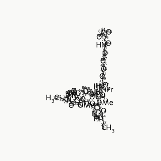 CC=CC1=CN2C(=O)c3cc(OC)c(OCCCOc4cc5c(cc4OC)C(=O)N4C=C(C=CC)C[C@H]4[C@H](O)N5C(=O)OCc4ccc(NC(=O)[C@H](C)NC(=O)[C@@H](NC(=O)CCOCCOCCOCCOCCNC(=O)CCN5C(=O)C=CC5=O)C(C)C)cc4)cc3N=C[C@@H]2C1